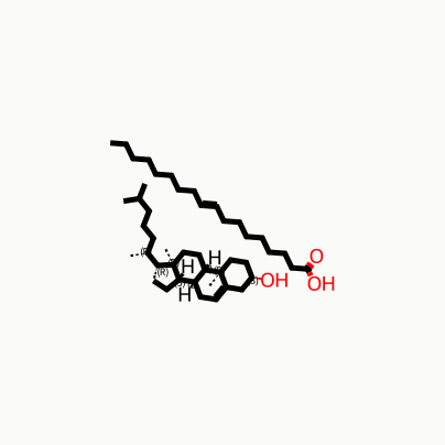 CC(C)CCC[C@@H](C)[C@H]1CC[C@H]2[C@@H]3CC=C4C[C@@H](O)CC[C@]4(C)[C@H]3CC[C@]12C.CCCCCCCCC=CCCCCCCCC(=O)O